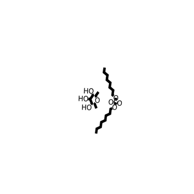 CCCCCCCCOS(=O)(=O)OCCCCCCCC.CCOCC.OCC(O)CO